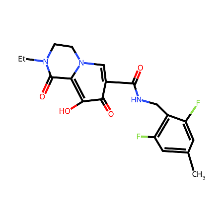 CCN1CCn2cc(C(=O)NCc3c(F)cc(C)cc3F)c(=O)c(O)c2C1=O